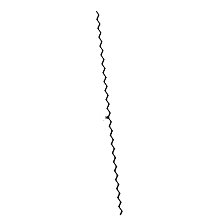 CCCCCCCCCCCCCCCCCCCCCCCCC(=O)CCCCCCCCCCCCCCCCCCCCCC